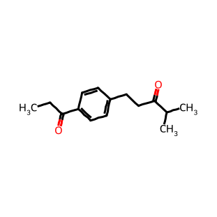 CCC(=O)c1ccc(CCC(=O)C(C)C)cc1